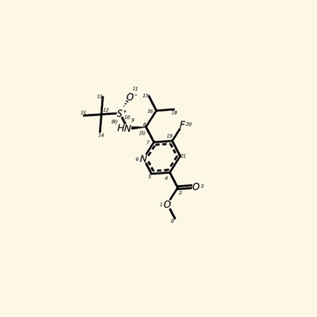 COC(=O)c1cnc([C@@H](N[S@@+]([O-])C(C)(C)C)C(C)C)c(F)c1